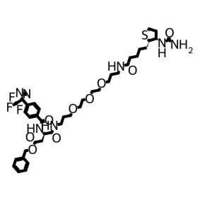 NC(=O)N[C@H]1CCS[C@H]1CCCCC(=O)NCCCOCCOCCOCCCNC(=O)[C@@H](CC(=O)OCc1ccccc1)NC(=O)c1ccc(C2(C(F)(F)F)N=N2)cc1